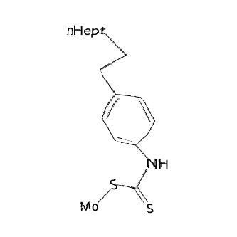 CCCCCCCCCc1ccc(NC(=S)[S][Mo])cc1